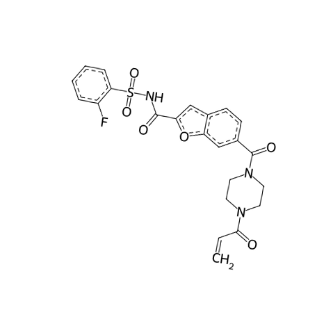 C=CC(=O)N1CCN(C(=O)c2ccc3cc(C(=O)NS(=O)(=O)c4ccccc4F)oc3c2)CC1